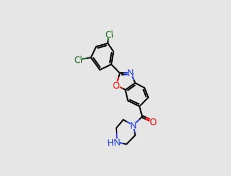 O=C(c1ccc2nc(-c3cc(Cl)cc(Cl)c3)oc2c1)N1CCNCC1